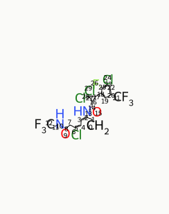 C=C/C(=C\C=C(\Cl)CC(=O)NCC(F)(F)F)NC(=O)C1C(c2cc(C(F)(F)F)cc(Cl)c2F)C1(Cl)Cl